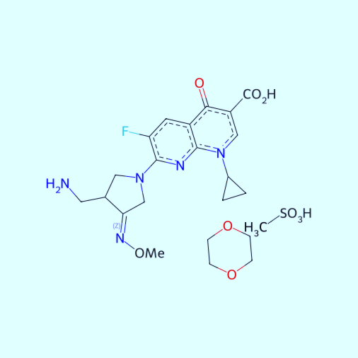 C1COCCO1.CO/N=C1\CN(c2nc3c(cc2F)c(=O)c(C(=O)O)cn3C2CC2)CC1CN.CS(=O)(=O)O